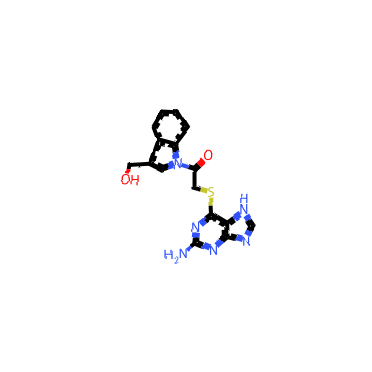 Nc1nc(SCC(=O)n2cc(CO)c3ccccc32)c2[nH]cnc2n1